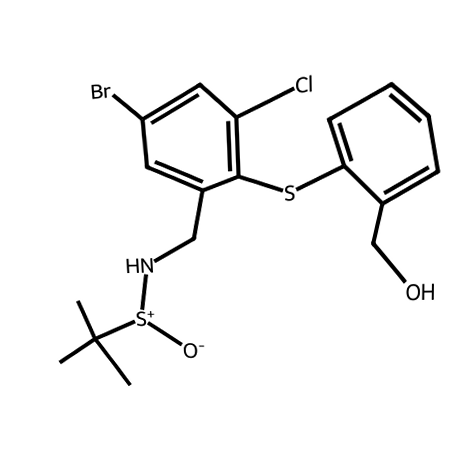 CC(C)(C)[S+]([O-])NCc1cc(Br)cc(Cl)c1Sc1ccccc1CO